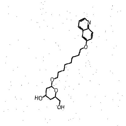 OCC1CC(O)CC(OCCCCCCCCOc2ccc3ncccc3c2)O1